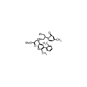 COC(=O)CC(NCC(CC(C)C)n1ccc(C)cc1=O)c1cnc(C)c(-c2ccccc2C)c1